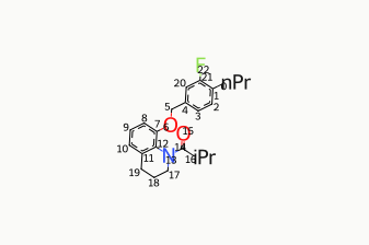 CCCc1ccc(COc2cccc3c2N(C(=O)C(C)C)CCC3)cc1F